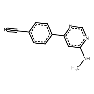 CNc1cc(-c2ccc(C#N)cc2)ncn1